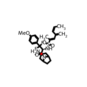 C=C(/C=C\C)/C=C(\C)S(=O)(=O)N[C@@H](C(=O)N1C2CCC1CC(N)C2)C(F)(F)c1ccc(OC)cc1